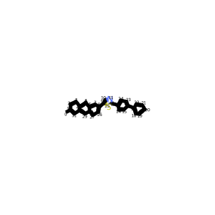 Cc1ccc2cc3cc(-c4cnc(-c5ccc(-c6ccccc6)cc5)s4)ccc3cc2c1